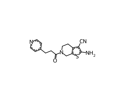 N#Cc1c(N)sc2c1CCN(C(=O)CCc1ccncc1)C2